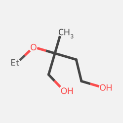 CCOC(C)(CO)CCO